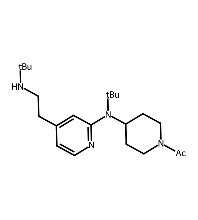 CC(=O)N1CCC(N(c2cc(CCNC(C)(C)C)ccn2)C(C)(C)C)CC1